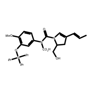 CC=CC1=CN(C(=O)N(C(=O)O)c2ccc(OC)c(O[Si](C(C)C)(C(C)C)C(C)C)c2)C(CO)C1